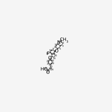 Cc1ccc2cc(Oc3ccc(F)c4c3CC[C@H]4Oc3ccc([C@H]4C[C@@H]4C(=O)O)cc3)ccc2n1